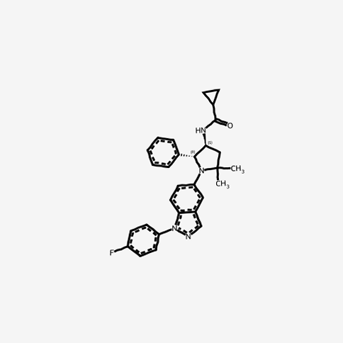 CC1(C)C[C@H](NC(=O)C2CC2)[C@@H](c2ccccc2)N1c1ccc2c(cnn2-c2ccc(F)cc2)c1